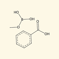 COB(O)O.O=C(O)c1ccccc1